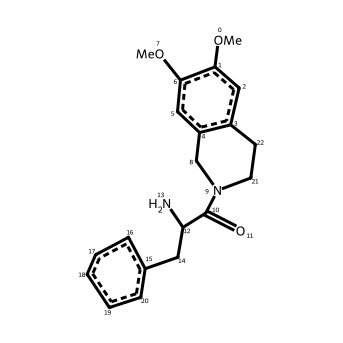 COc1cc2c(cc1OC)CN(C(=O)C(N)Cc1ccccc1)CC2